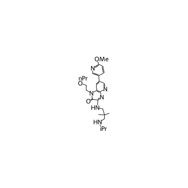 CCCOCCn1c(=O)c(NCC(C)(C)CNC(C)C)nc2ncc(-c3ccc(OC)nc3)cc21